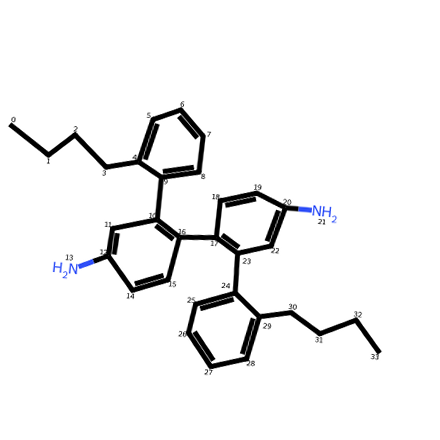 CCCCc1ccccc1-c1cc(N)ccc1-c1ccc(N)cc1-c1ccccc1CCCC